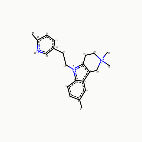 Cc1ccc2c(c1)c1c(n2CCc2ccc(C)nc2)CC[N+](C)(C)C1